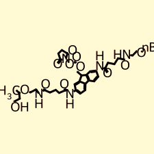 CCCCOCCNC(=O)CCCC(=O)Nc1ccc2c(c1)C(COC(=O)ON1C(=O)CCC1=O)c1cc(NC(=O)CCCC(=O)NCCOC(C)CCO)ccc1-2